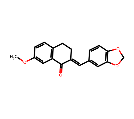 COc1ccc2c(c1)C(=O)/C(=C/c1ccc3c(c1)OCO3)CC2